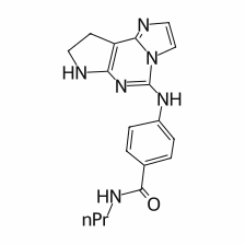 CCCNC(=O)c1ccc(Nc2nc3c(c4nccn24)CCN3)cc1